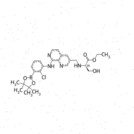 CCOC(=O)[C@@H](CO)NCc1cnc2c(Nc3cccc(B4OC(C)(C)C(C)(C)O4)c3Cl)nccc2c1